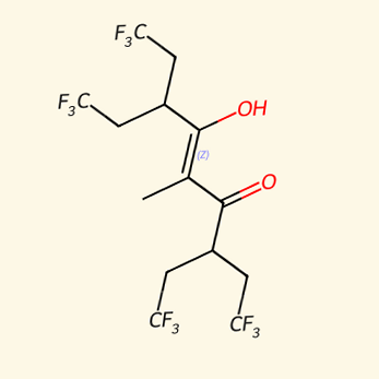 C/C(C(=O)C(CC(F)(F)F)CC(F)(F)F)=C(/O)C(CC(F)(F)F)CC(F)(F)F